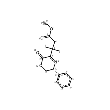 CC(C)(C)OC(=O)CC(C)(C)C1=N[C@H](c2ccccc2)COC1=O